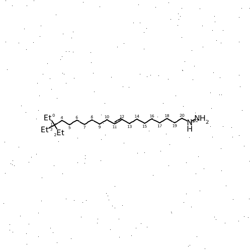 CCC(CC)(CC)CCCCCCCC=CCCCCCCCCNN